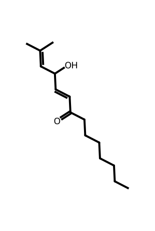 CCCCCCCC(=O)C=CC(O)C=C(C)C